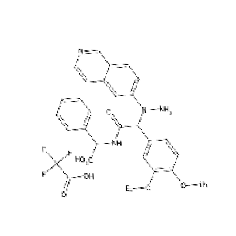 CCOc1cc(C(C(=O)NC(C(=O)O)c2ccccc2)N(N)c2ccc3cnccc3c2)ccc1OC(C)C.O=C(O)C(F)(F)F